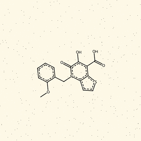 COc1ccccc1Cn1c(=O)c(O)c(C(=O)O)c2sccc21